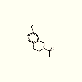 CC(=O)N1CCc2ncc(Cl)cc2C1